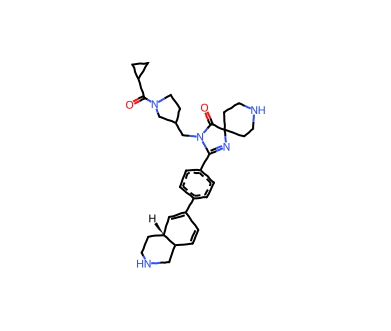 O=C(C1CC1)N1CCC(CN2C(=O)C3(CCNCC3)N=C2c2ccc(C3=C[C@H]4CCNCC4C=C3)cc2)C1